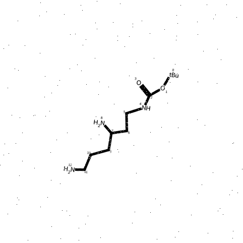 CC(C)(C)OC(=O)NCCC(N)CCCN